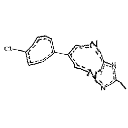 Cc1nc2ncc(-c3ccc(Cl)cc3)cn2n1